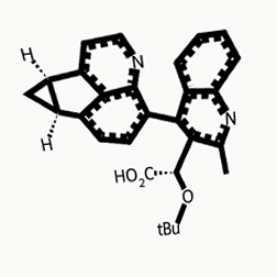 Cc1nc2ccccc2c(-c2ccc3c4c(ccnc24)[C@@H]2C[C@H]32)c1[C@H](OC(C)(C)C)C(=O)O